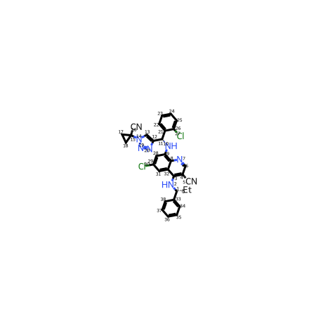 CC[C@@H](Nc1c(C#N)cnc2c(N[C@H](c3cn(C4(C#N)CC4)nn3)c3ccccc3Cl)cc(Cl)cc12)c1ccccc1